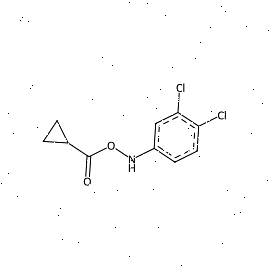 O=C(ONc1ccc(Cl)c(Cl)c1)C1CC1